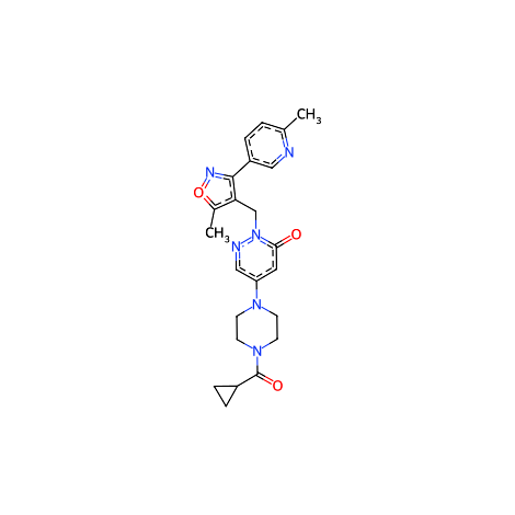 Cc1ccc(-c2noc(C)c2Cn2ncc(N3CCN(C(=O)C4CC4)CC3)cc2=O)cn1